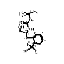 C=C(C)OC(=O)N[C@H](CO)Cc1ccccc1C(F)(F)F